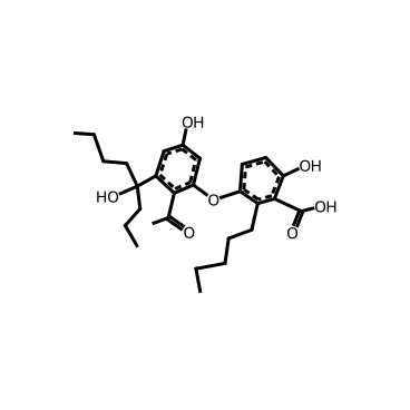 CCCCCc1c(Oc2cc(O)cc(C(O)(CCC)CCCC)c2C(C)=O)ccc(O)c1C(=O)O